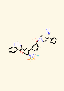 CNC(=O)c1c(-c2ccc(F)cc2)oc2cc(N(CCF)S(C)(=O)=O)c(-c3cccc(C(=O)N4CCC(=C(C#N)c5ccccc5)CC4)c3)cc12